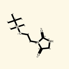 CC(C)(C)[Si](C)(C)OCCN1C(=O)CNC1=O